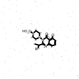 CC(Br)c1nc2cccc(Cl)c2c(=O)n1N1CCN(C(=O)O)CC1